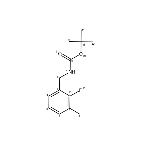 Cc1cccc(CNC(=O)OC(C)(C)C)c1F